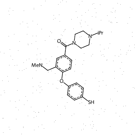 CNCc1cc(C(=O)N2CCN(C(C)C)CC2)ccc1Oc1ccc(S)cc1